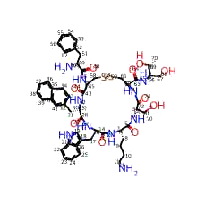 C[C@@H](O)[C@@H]1NC(=O)[C@H](CCCCN)NC(=O)[C@@H](Cc2c[nH]c3ccccc23)NC(=O)[C@H](Cc2ccc3ccccc3c2)NC(=O)[C@@H](NC(=O)[C@H](N)Cc2ccccc2)CSSC[C@@H](C(=O)N[C@H](CO)[C@@H](C)O)NC1=O